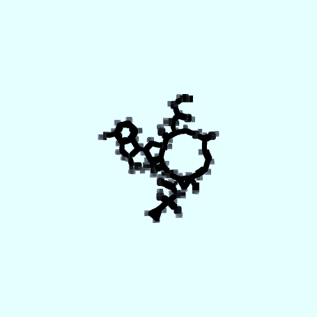 CC(C)(C)OC(=O)N[C@H]1COC(=O)/C=C/C=C\[C@@H]2C[C@@]2(C(=O)NS(=O)(=O)C2CC2)NC(=O)[C@@H]2C[C@@H](C3c4cccc(F)c4CN3C(=O)O)CN2C1=O